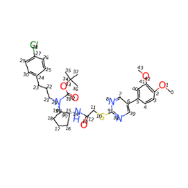 COc1ccc(-c2cnc(SCC(=O)N[C@@H]3CCC[C@H]3N(CCCc3ccc(Cl)cc3)C(=O)OC(C)(C)C)nc2)cc1OC